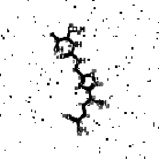 CC(O)C(NC(=O)NCc1nc([C@@H](N)CCC(N)=O)no1)C(=O)O